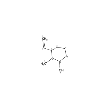 C=CC1CCCC(O)C1C